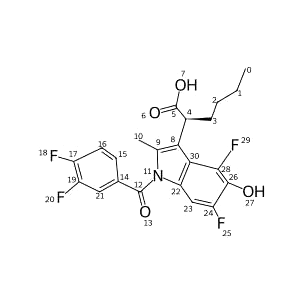 CCCC[C@H](C(=O)O)c1c(C)n(C(=O)c2ccc(F)c(F)c2)c2cc(F)c(O)c(F)c12